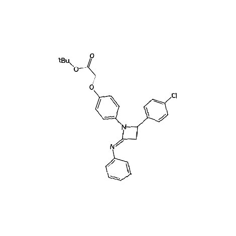 CC(C)(C)OC(=O)COc1ccc(N2C(=Nc3ccccc3)CC2c2ccc(Cl)cc2)cc1